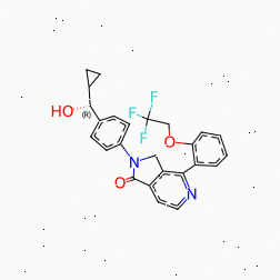 O=C1c2ccnc(-c3ccccc3OCC(F)(F)F)c2CN1c1ccc([C@H](O)C2CC2)cc1